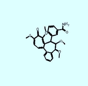 COc1c2c(ccc(SC)c1=O)-c1ccccc1C(OC)C(OC)C2c1cccc(C(N)=O)c1